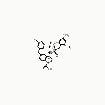 CC(=O)N1CC[C@@H](NC(=O)[C@@H](N)Cc2c(C)cc(C)cc2C)c2cc(Oc3cccc(Cl)c3)ccc21